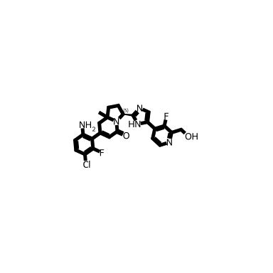 CC12CC[C@@H](c3ncc(-c4ccnc(CO)c4F)[nH]3)N1C(=O)C=C(c1c(N)ccc(Cl)c1F)C2